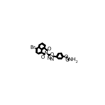 NOOc1ccc(-c2nnc(N3C(=O)c4cccc5c(Br)ccc(c45)C3=O)o2)cc1